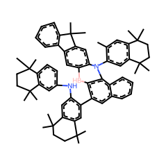 Cc1cc2c(cc1N1c3cc4c(cc3Bc3c(-c5cc6c(cc5Nc5ccc7c(c5)C(C)(C)CCC7(C)C)C(C)(C)CCC6(C)C)cc5ccccc5c31)-c1ccccc1C4(C)C)C(C)(C)CCC2(C)C